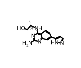 C[C@@H](CO)Nc1nc(N)nc2cc(-c3ccn[nH]3)ccc12